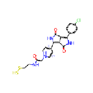 C/C=C(\C=C/NCC(=O)NCCSS)C1=C2C(=O)NC(c3ccc(Cl)cc3)=C2C(=O)N1